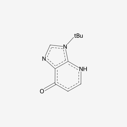 CC(C)(C)n1cnc2c(=O)cc[nH]c21